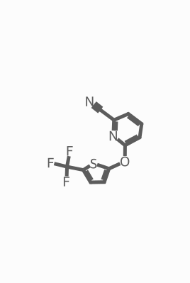 N#Cc1cccc(Oc2ccc(C(F)(F)F)s2)n1